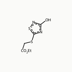 CCOC(=O)CSc1nc(O)ns1